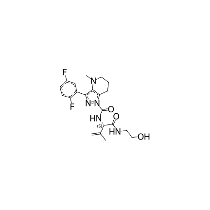 C=C(C)[C@H](NC(=O)n1nc(-c2cc(F)ccc2F)c2c1CCCN2C)C(=O)NCCO